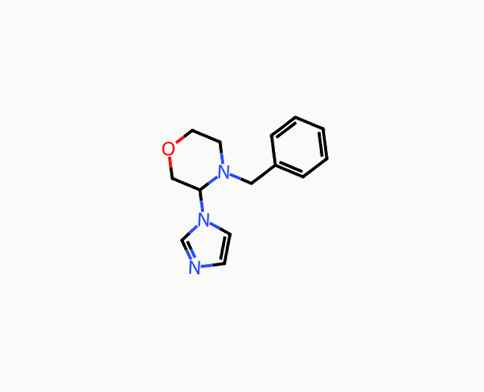 c1ccc(CN2CCOCC2n2ccnc2)cc1